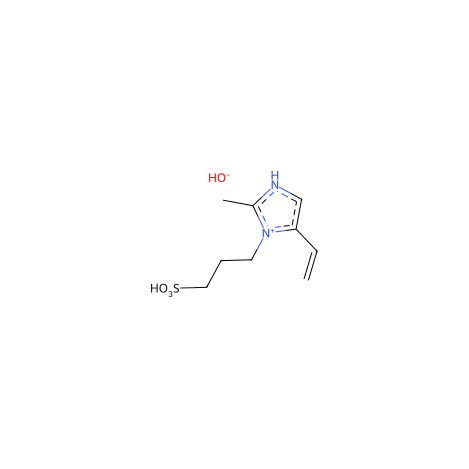 C=Cc1c[nH]c(C)[n+]1CCCS(=O)(=O)O.[OH-]